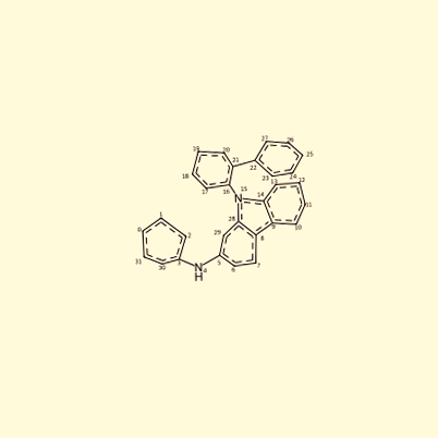 c1ccc(Nc2ccc3c4ccccc4n(-c4ccccc4-c4ccccc4)c3c2)cc1